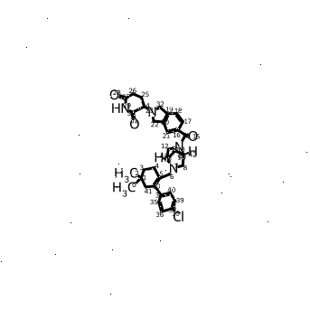 CC1(C)CCC(CN2C[C@@H]3C[C@H]2CN3C(=O)c2ccc3c(c2)CN(C2CCC(=O)NC2=O)C3)=C(c2ccc(Cl)cc2)C1